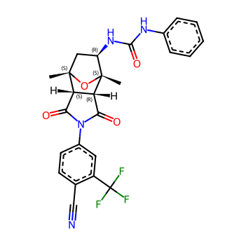 C[C@@]12O[C@@](C)(C[C@H]1NC(=O)Nc1ccccc1)[C@H]1C(=O)N(c3ccc(C#N)c(C(F)(F)F)c3)C(=O)[C@H]12